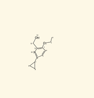 CCOc1ccc(C2CC2)nc1CO